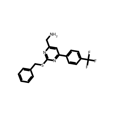 NCc1cc(-c2ccc(C(F)(F)F)cc2)nc(SCc2ccccc2)n1